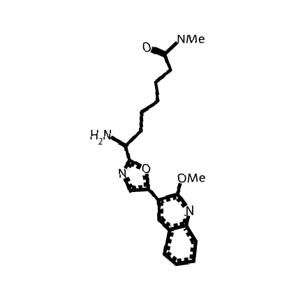 CNC(=O)CCCCCC(N)c1ncc(-c2cc3ccccc3nc2OC)o1